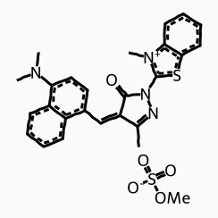 CC1=NN(c2sc3ccccc3[n+]2C)C(=O)C1=Cc1ccc(N(C)C)c2ccccc12.COS(=O)(=O)[O-]